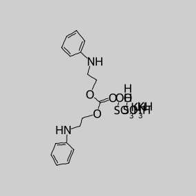 O=C(OCCNc1ccccc1)OCCNc1ccccc1.O=S(=O)(O)O.O=S(=O)(O)O.[KH].[KH]